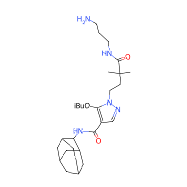 CC(C)COc1c(C(=O)NC2C3CC4CC(C3)CC2C4)cnn1CCC(C)(C)C(=O)NCCCN